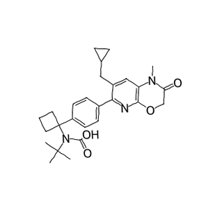 CN1C(=O)COc2nc(-c3ccc(C4(N(C(=O)O)C(C)(C)C)CCC4)cc3)c(CC3CC3)cc21